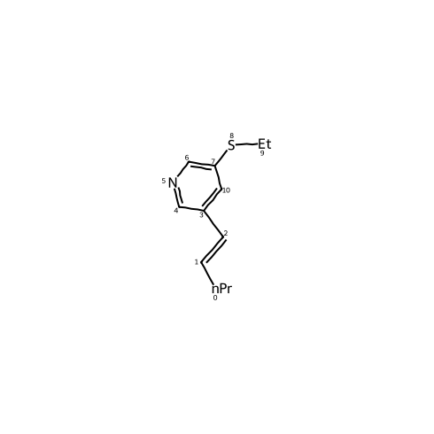 CCCC=Cc1cncc(SCC)c1